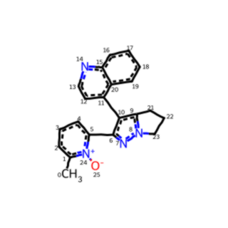 Cc1cccc(-c2nn3c(c2-c2ccnc4ccccc24)CCC3)[n+]1[O-]